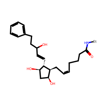 CCNC(=O)CCC/C=C\C[C@@H]1[C@@H](/C=C/C(O)CCc2ccccc2)[C@H](O)C[C@@H]1O